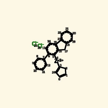 C1=CC[C]([Zr+2][c]2c(-c3ccccc3)ccc3c2Cc2ccccc2-3)=C1.[Cl-].[Cl-]